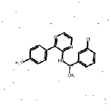 CC(Nc1nccnc1-c1ccc(N)cc1)c1cccc(Cl)c1